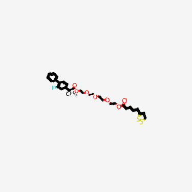 CC(C(=O)OCCOCCOCCOCCOC(=O)CCCCC1CCSS1)c1ccc(-c2ccccc2)c(F)c1